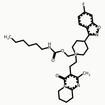 CCCCCCNC(=O)OC[N+]1(CCc2c(C)nc3n(c2=O)CCCC3)CCC(c2noc3cc(F)ccc23)CC1